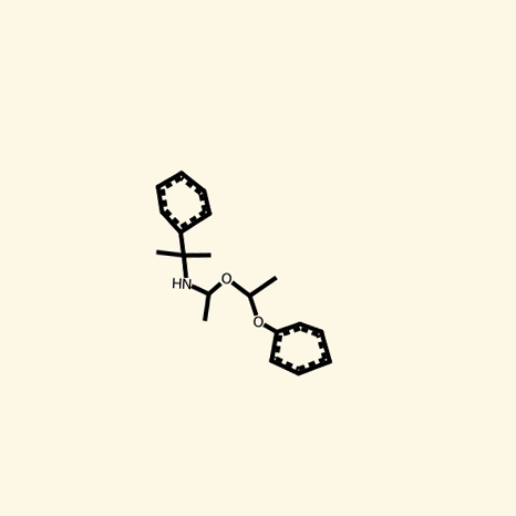 CC(NC(C)(C)c1ccccc1)OC(C)Oc1ccccc1